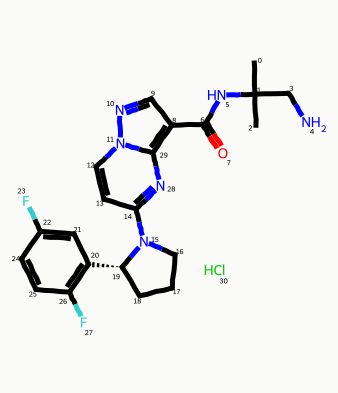 CC(C)(CN)NC(=O)c1cnn2ccc(N3CCC[C@@H]3c3cc(F)ccc3F)nc12.Cl